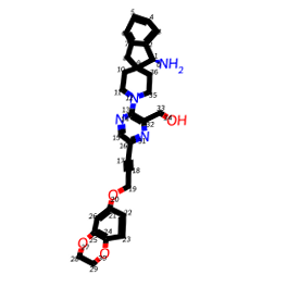 N[C@@H]1c2ccccc2CC12CCN(c1ncc(C#CCOc3ccc4c(c3)OCCO4)nc1CO)CC2